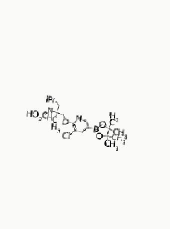 CC(C)CC(C)(COc1ncc(B2OC(C)(C)C(C)(C)O2)cc1Cl)NC(=O)O